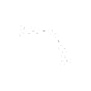 C(#Cc1ccc(-c2ccc(C#Cc3ccc4c5c(ccc4c3)OC(c3ccccc3)(c3ccccc3)C=C5)s2)s1)c1ccc2c3c(ccc2c1)OC(c1ccccc1)(c1ccccc1)C=C3